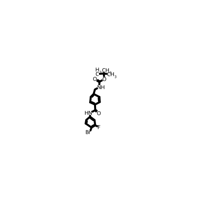 CC(C)(C)OC(=O)NCc1ccc(C(=O)Nc2ccc(Br)c(F)c2)cc1